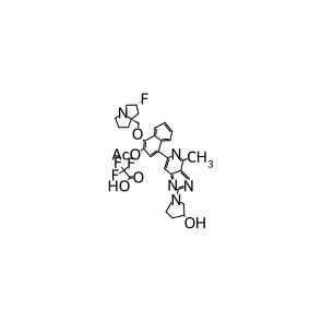 CC(=O)Oc1cc(-c2cc3nc(N4CCC[C@@H](O)C4)ncc3c(C)n2)c2ccccc2c1OC[C@@]12CCCN1C[C@H](F)C2.O=C(O)C(F)(F)F